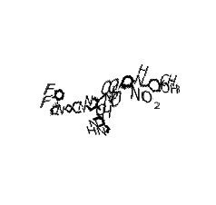 CC1(O)CCC(CNc2ccc(S(=O)(=O)NC(=O)c3cnc(N4CCC5(CC4)CC(N4CCC[C@H]4c4cccc(F)c4F)C5)cc3Oc3cnc4[nH]ccc4c3)cc2[N+](=O)[O-])CC1